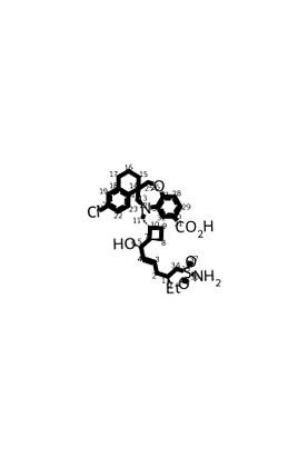 CC[C@@H](C/C=C/[C@H](O)[C@@H]1CC[C@H]1CN1CC2(CCCc3cc(Cl)ccc32)COc2ccc(C(=O)O)cc21)CS(N)(=O)=O